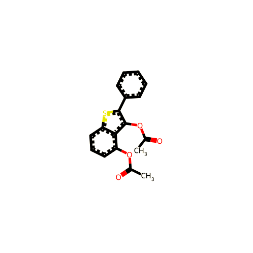 CC(=O)Oc1cccc2sc(-c3ccccc3)c(OC(C)=O)c12